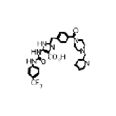 O=C(Nc1ccc(C(F)(F)F)cc1)Nc1[nH]c(Cc2ccc(C(=O)N3CCN(Cc4ccccn4)CC3)cc2)nc1C(=O)O